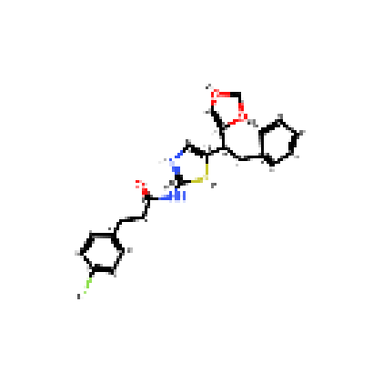 O=C(CCc1ccc(F)cc1)Nc1ncc(C(Cc2ccccc2)C2=COCO2)s1